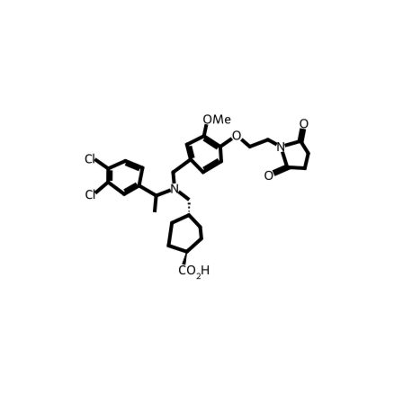 COc1cc(CN(C[C@H]2CC[C@H](C(=O)O)CC2)C(C)c2ccc(Cl)c(Cl)c2)ccc1OCCN1C(=O)CCC1=O